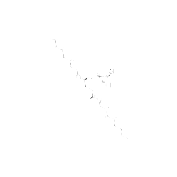 CCCCCCCCOC(=O)CCC(=O)OCCCCCCCC.O=[S-](=O)O.[Na+]